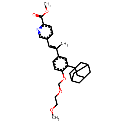 COCCOCOc1ccc(C(C)=Cc2ccc(C(=O)OC)nc2)cc1C12CC3CC(CC(C3)C1)C2